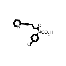 O=C(O)N(C(=O)CCC#Cc1ccccn1)c1ccc(Cl)cc1